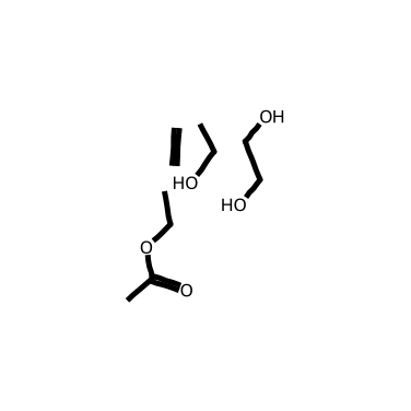 C=C.CCO.CCOC(C)=O.OCCO